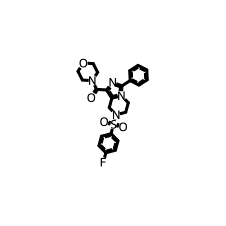 O=C(c1nc(-c2ccccc2)n2c1CN(S(=O)(=O)c1ccc(F)cc1)CC2)N1CCOCC1